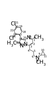 Cc1cc(CCCN(C)C2CC2)n2nc(C)c(-c3ccc(Cl)cc3Cl)c2n1